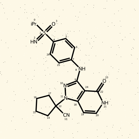 CC(C)S(=N)(=O)c1ccc(Nc2nn(C3(C#N)CCCC3)c3cc[nH]c(=O)c23)cc1